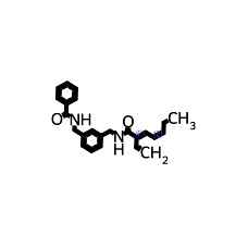 C=C/C(=C\C=C/CC)C(=O)NCc1cccc(CNC(=O)c2ccccc2)c1